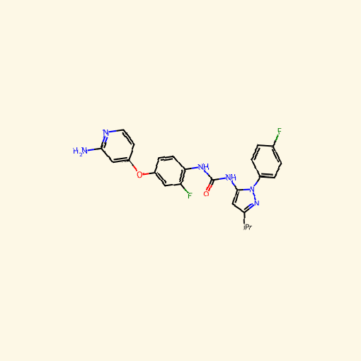 CC(C)c1cc(NC(=O)Nc2ccc(Oc3ccnc(N)c3)cc2F)n(-c2ccc(F)cc2)n1